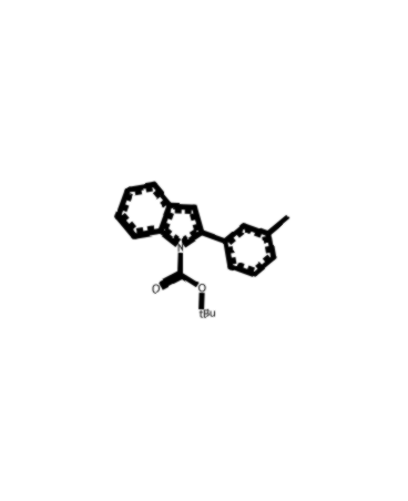 Cc1cccc(-c2cc3ccccc3n2C(=O)OC(C)(C)C)c1